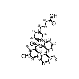 CCc1cnccc1-c1cccc(C2CN(CCCC(=O)O)CCN2S(=O)(=O)c2cccc(Cl)c2C)c1